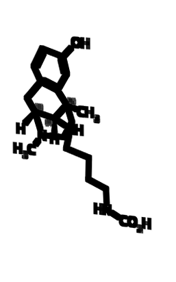 CN1CC[C@@]2(C)c3cc(O)ccc3C[C@@H]1[C@H]2NCCCCNC(=O)O